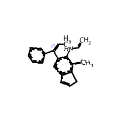 C=CNc1c(/C(=C\C)c2ccccc2)cc2c(c1C)CC=C2